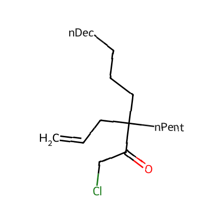 C=CCC(CCCCC)(CCCCCCCCCCCCC)C(=O)CCl